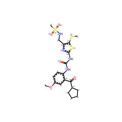 COc1ccc(NC(=O)Nc2nc(CNS(C)(=O)=O)c(SC)s2)c(C(=O)C2CCCC2)c1